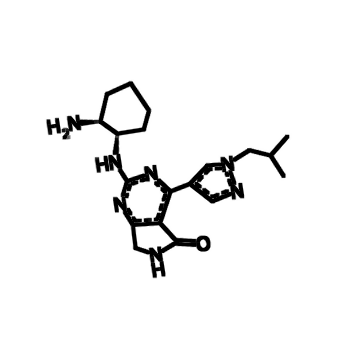 CC(C)Cn1cc(-c2nc(N[C@@H]3CCCC[C@@H]3N)nc3c2C(=O)NC3)cn1